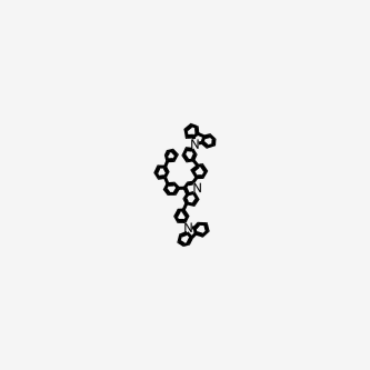 c1ccc(-c2cccc(-c3cccc(-c4cc(-c5cccc(-c6cccc(-n7c8ccccc8c8ccccc87)c6)c5)nc5ccc(-c6cccc(-n7c8ccccc8c8ccccc87)c6)cc45)c3)c2)cc1